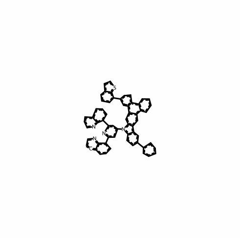 c1ccc(-c2ccc3c(c2)c2cc4c5ccccc5c5ccc(-c6cccc7ccsc67)cc5c4cc2n3-c2cc(-c3cccc4cccnc34)nc(-c3cccc4cccnc34)c2)cc1